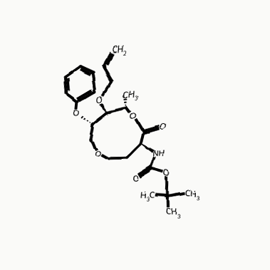 C=CCO[C@H]1[C@H](C)OC(=O)[C@@H](NC(=O)OC(C)(C)C)CCOC[C@@H]1Oc1ccccc1